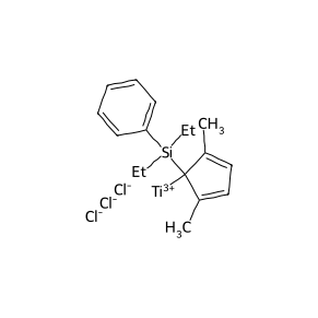 CC[Si](CC)(c1ccccc1)[C]1([Ti+3])C(C)=CC=C1C.[Cl-].[Cl-].[Cl-]